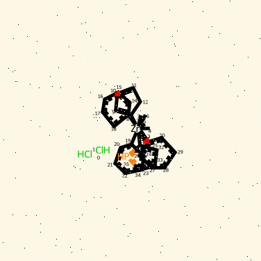 Cl.Cl.[CH2]=[Zr]([CH3])([CH3])([CH3])([CH3])([C]1=CC=CC1)([c]1ccccc1)([c]1ccccc1)([c]1ccccc1)[c]1ccc[pH]1